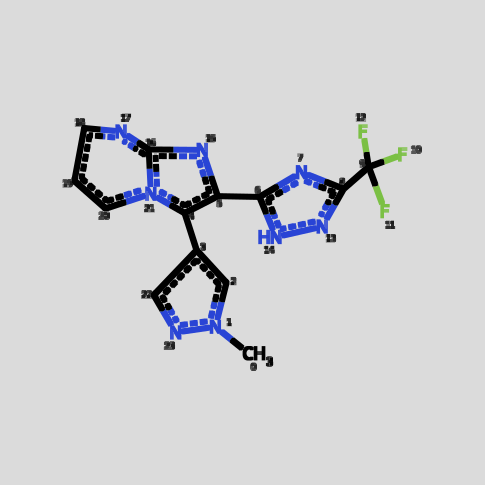 Cn1cc(-c2c(-c3nc(C(F)(F)F)n[nH]3)nc3ncccn23)cn1